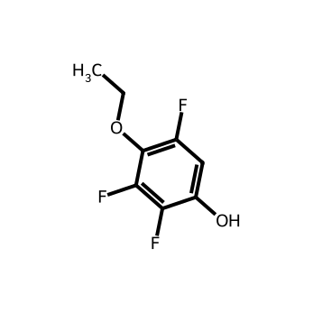 CCOc1c(F)cc(O)c(F)c1F